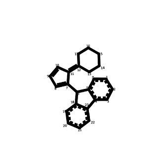 [c]1cccc2c1C(C1=CC=CC1=C1CCCCC1)c1ccccc1-2